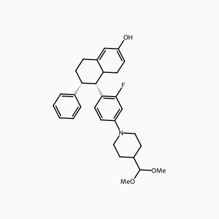 COC(OC)C1CCN(c2ccc([C@H]3C4CC=C(O)C=C4CC[C@H]3c3ccccc3)c(F)c2)CC1